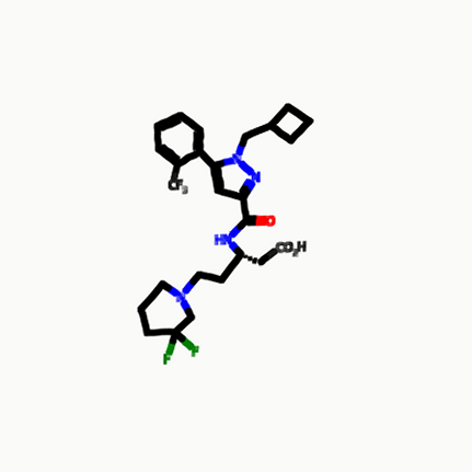 O=C(O)C[C@H](CCN1CCCC(F)(F)C1)NC(=O)c1cc(-c2ccccc2C(F)(F)F)n(CC2CCC2)n1